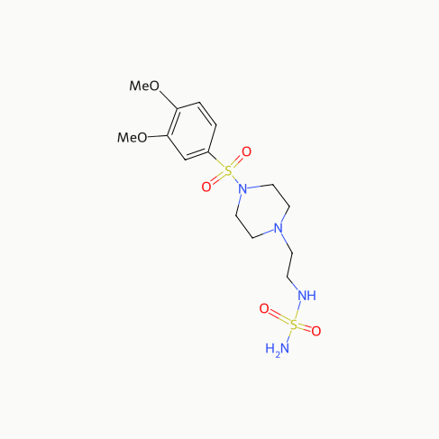 COc1ccc(S(=O)(=O)N2CCN(CCNS(N)(=O)=O)CC2)cc1OC